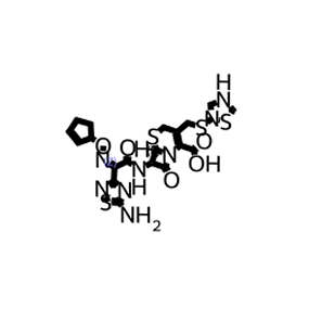 Nc1nc(/C(=N/OC2C=CCC2)C(=O)NC2C(=O)N3C(C(=O)O)=C(CSN4CNCS4)CS[C@H]23)ns1